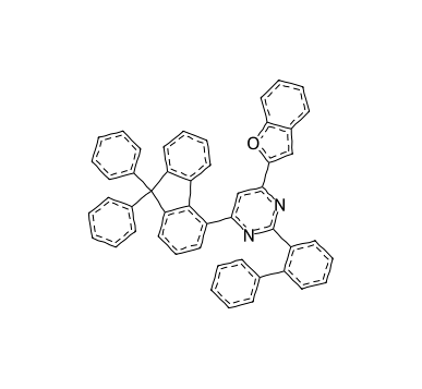 c1ccc(-c2ccccc2-c2nc(-c3cc4ccccc4o3)cc(-c3cccc4c3-c3ccccc3C4(c3ccccc3)c3ccccc3)n2)cc1